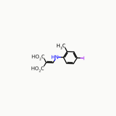 Cc1cc(I)ccc1NC=C(C(=O)O)C(=O)O